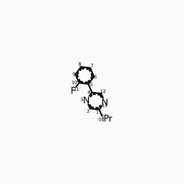 CC(C)c1cnc(-c2ccccc2F)cn1